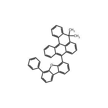 CC1(C)c2ccccc2-c2c3ccccc3c(-c3cccc4c3oc3c(-c5ccccc5)cccc34)c3cccc1c23